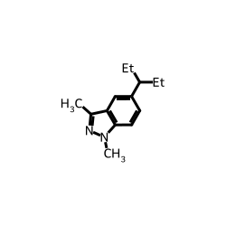 CCC(CC)c1ccc2c(c1)c(C)nn2C